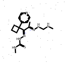 CNCN/N=C(C)/C(=N/NC(=S)NC)C1(c2ccncc2)CCC1